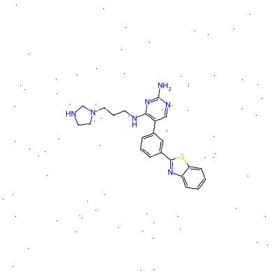 Nc1ncc(-c2cccc(-c3nc4ccccc4s3)c2)c(NCCCN2CCNC2)n1